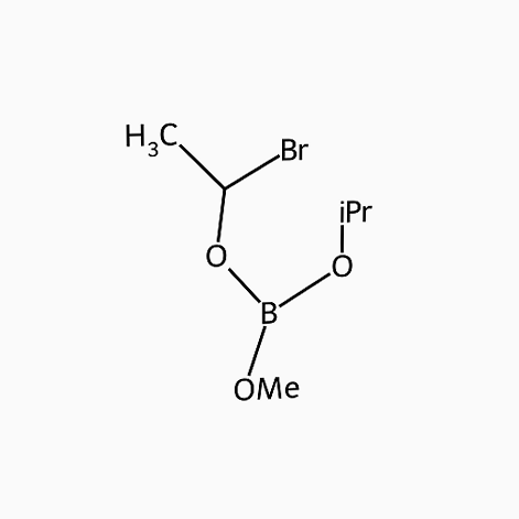 COB(OC(C)C)OC(C)Br